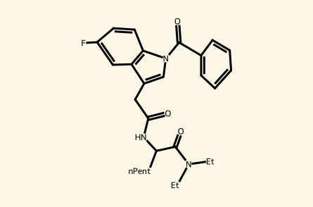 CCCCCC(NC(=O)Cc1cn(C(=O)c2ccccc2)c2ccc(F)cc12)C(=O)N(CC)CC